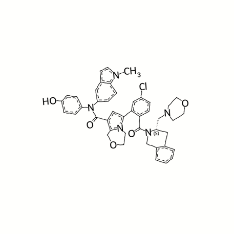 Cn1ccc2cc(N(C(=O)c3cc(-c4cc(Cl)ccc4C(=O)N4Cc5ccccc5C[C@H]4CN4CCOCC4)n4c3COCC4)c3ccc(O)cc3)ccc21